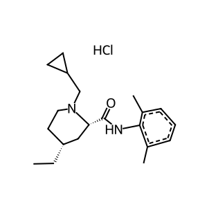 CC[C@@H]1CCN(CC2CC2)[C@H](C(=O)Nc2c(C)cccc2C)C1.Cl